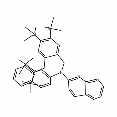 CC(C)(C)P(Cc1cc([Si](C)(C)C)c([Si](C)(C)C)cc1CP(c1ccc2ccccc2n1)c1ccc2ccccc2n1)C(C)(C)C